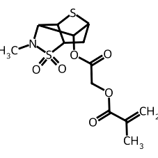 C=C(C)C(=O)OCC(=O)OC1C2CC3C(S2)C1N(C)S3(=O)=O